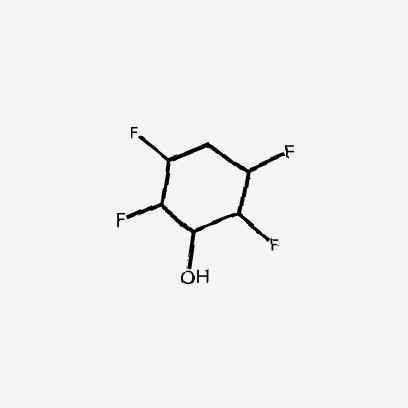 OC1C(F)C(F)CC(F)C1F